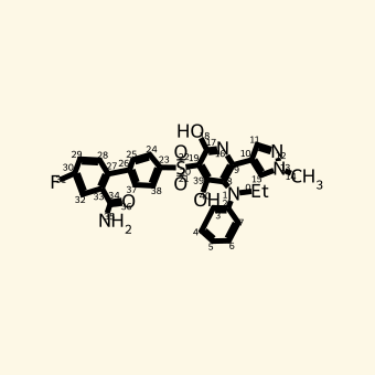 CCN(c1ccccc1)c1c(-c2cnn(C)c2)nc(O)c(S(=O)(=O)c2ccc(-c3ccc(F)cc3C(N)=O)cc2)c1O